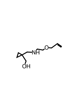 C=CCOCCNCC1(CO)CC1